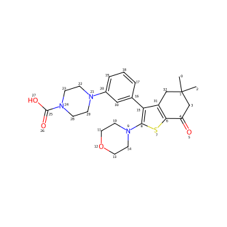 CC1(C)CC(=O)c2sc(N3CCOCC3)c(-c3cccc(N4CCN(C(=O)O)CC4)c3)c2C1